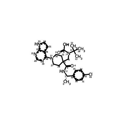 C[C@H](NC(=O)C1(CN(C(=O)O)C(C)(C)C)CCN(c2ncnc3[nH]ccc23)CC1)c1ccc(Cl)cc1